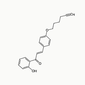 C#CCCCCOc1ccc(/C=C/C(=O)c2ccccc2O)cc1